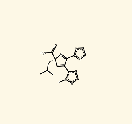 CC(C)C[C@@]1(C(N)=O)C=C(c2nnnn2C)C(c2nccs2)=N1